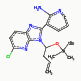 C=CCC(O[Si](C)(C)C(C)(C)C)n1c(-c2cccnc2N)nc2ccc(Cl)nc21